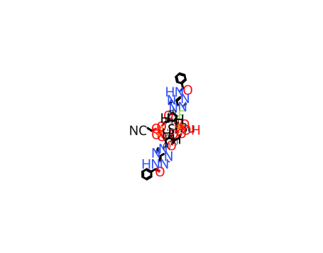 CC(C)(C)[Si](C)(C)O[C@@H]1C2OP(=O)(OCCC#N)OC[C@H]3O[C@@H](n4cnc5c(NC(=O)c6ccccc6)ncnc54)C(F)[C@H]3OP(=O)(O)OC[C@H]1O[C@H]2n1cnc2c(NC(=O)c3ccccc3)ncnc21